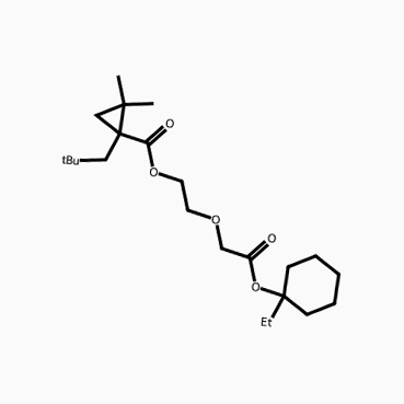 CCC1(OC(=O)COCCOC(=O)C2(CC(C)(C)C)CC2(C)C)CCCCC1